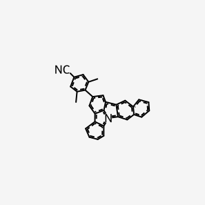 Cc1cc(C#N)cc(C)c1-c1cc2c3ccccc3n3c4cc5ccccc5cc4c(c1)c23